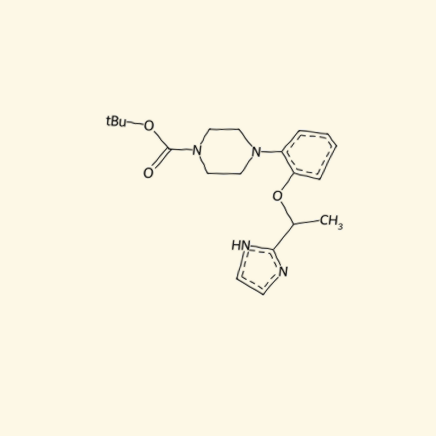 CC(Oc1ccccc1N1CCN(C(=O)OC(C)(C)C)CC1)c1ncc[nH]1